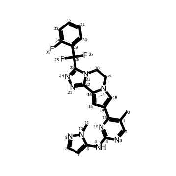 Cc1cnc(Nc2ccnn2C)nc1-c1cc2n(c1)CCn1c-2nnc1C(F)(F)c1ccccc1F